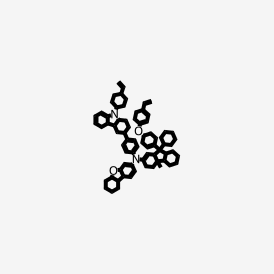 C=CC1=CC=C(OC2CC=C(C3(C4CCCCC4)C4CCCCC4C4(C)CCC(N(C5=CC6OC7CCCCC7C6C=C5)c5ccc(C6CCC7C(C6)C6CC=CC=C6N7C6CCC(C=C)CC6)cc5)=CC43)CC2)CC1